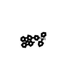 Cc1ccc2c(c1)C1(c3ccccc3-2)c2ccccc2-c2ccc(-c3ccc(-n4c(-c5ccccc5)nc5ccccc54)cc3)cc21